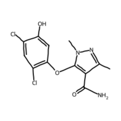 Cc1nn(C)c(Oc2cc(O)c(Cl)cc2Cl)c1C(N)=O